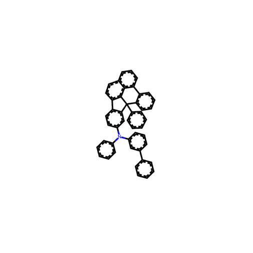 c1ccc(-c2cccc(N(c3ccccc3)c3ccc4c(c3)C3(c5ccccc5)c5ccccc5-c5cccc6ccc-4c3c56)c2)cc1